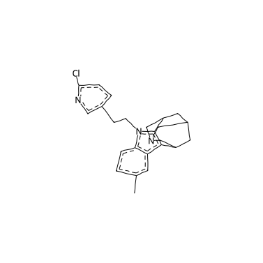 Cc1ccc2c(c1)c1c(n2CCc2ccc(Cl)nc2)C2CC3CC1CN(C3)C2